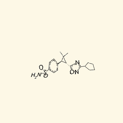 CC1(C)[C@H](c2ccc(S(N)(=O)=O)cc2)[C@H]1c1nc(C2CCCC2)no1